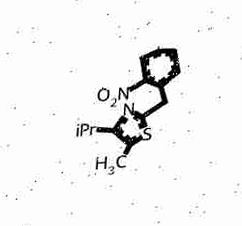 Cc1sc(Cc2cc[c]cc2[N+](=O)[O-])nc1C(C)C